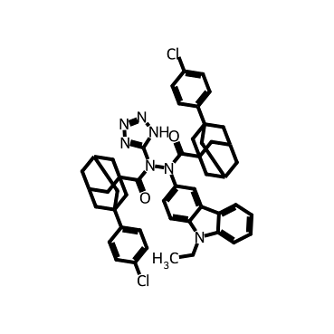 CCn1c2ccccc2c2cc(N(C(=O)C34CC5CC(C3)CC(c3ccc(Cl)cc3)(C5)C4)N(C(=O)C34CC5CC(C3)CC(c3ccc(Cl)cc3)(C5)C4)c3nnn[nH]3)ccc21